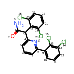 NC(=O)C(c1cccc(-c2cccc(Cl)c2Cl)n1)c1c(Cl)cccc1Cl